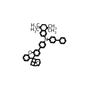 CC1(C)CCC(C)(C)c2cc(N(c3ccc(-c4ccccc4)cc3)c3ccc(-c4ccc5c(c4)Oc4ccccc4C54C5CC6CC7CC4C75C6)cc3)ccc21